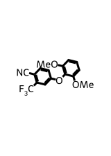 COc1cccc(OC)c1Oc1ccc(C#N)c(C(F)(F)F)c1